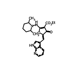 CCOC(=O)C1=C(NN2C(C)CCCC2C)OC(=Cc2c[nH]c3ncccc23)C1=O